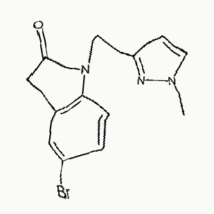 Cn1ccc(CN2C(=O)Cc3cc(Br)ccc32)n1